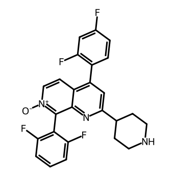 [O-][n+]1ccc2c(-c3ccc(F)cc3F)cc(C3CCNCC3)nc2c1-c1c(F)cccc1F